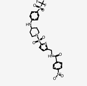 O=C(NCc1ccc(S(=O)(=O)N2CCC(Nc3ccc(S(=O)(=O)C(F)(F)F)cc3)CC2)s1)c1ccc([N+](=O)[O-])cc1